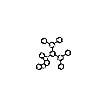 c1ccc(-c2cc(-c3ccccc3)nc(-c3cc(-c4nc(-c5ccccc5)cc(-c5ccccc5)n4)cc(-n4c5ccccc5c5c6c(ccc54)sc4ccccc46)c3)n2)cc1